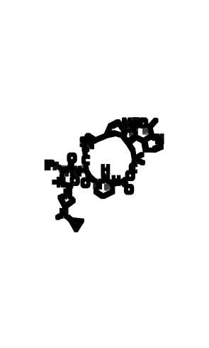 CCn1c(-c2cccnc2[C@H](C)OC)c2c3cc(ccc31)-c1csc(n1)C[C@H](NC(=O)[C@H](C(C)C)N(C)C(=O)N1CC(N(C)C3CC3)C1)C(=O)N1CCC[C@H](N1)C(=O)OCC(C)(C)C2